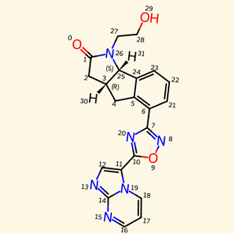 O=C1C[C@H]2Cc3c(-c4noc(-c5cnc6ncccn56)n4)cccc3[C@H]2N1CCO